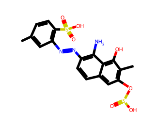 Cc1ccc(S(=O)(=O)O)c(N=Nc2ccc3cc(OS(=O)O)c(C)c(O)c3c2N)c1